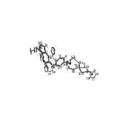 O=Cc1ccc(N2CCC3(CC2)CC(N2CCCC2)C3)cc1N1CCOc2nc3[nH]ccc3cc21